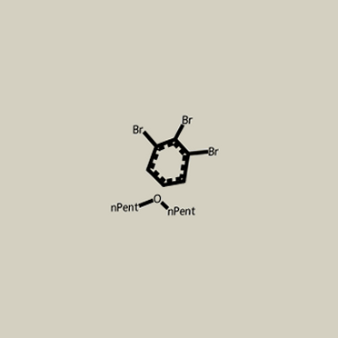 Brc1cccc(Br)c1Br.CCCCCOCCCCC